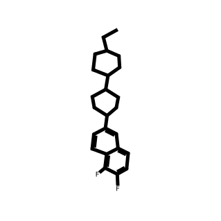 CCC1CCC(C2CCC(c3ccc4c(F)c(F)ccc4c3)CC2)CC1